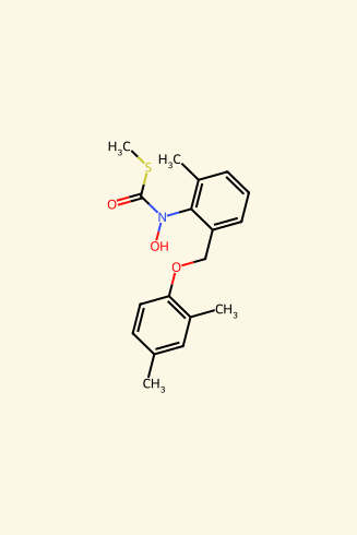 CSC(=O)N(O)c1c(C)cccc1COc1ccc(C)cc1C